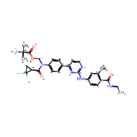 CCNC(=O)c1ccc(Nc2nccc(-c3ccc(N(COC(=O)C(C)(C)C)C(=O)C4CC4(F)F)cc3)n2)cc1C